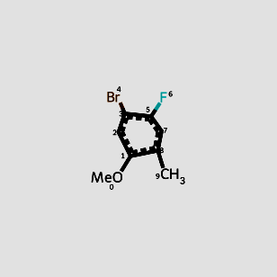 COc1cc(Br)c(F)cc1C